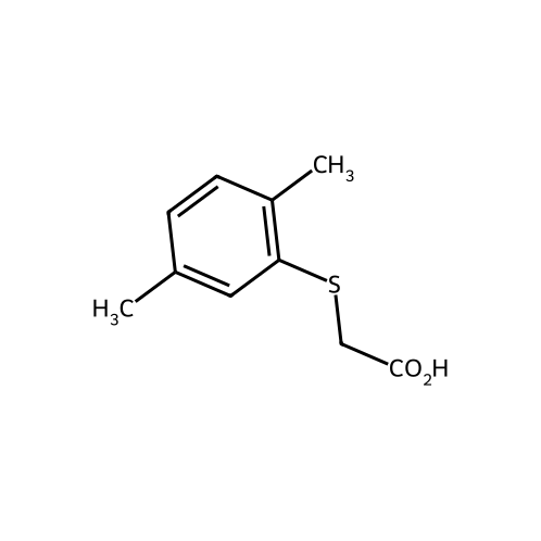 Cc1ccc(C)c(SCC(=O)O)c1